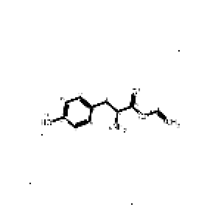 C=COC(=O)[C@@H](N)Cc1ccc(O)cc1